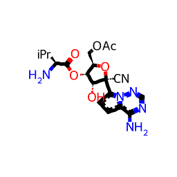 CC(=O)OC[C@H]1O[C@@](C#N)(c2ccc3c(N)ncnn23)[C@H](O)[C@@H]1OC(=O)[C@@H](N)C(C)C